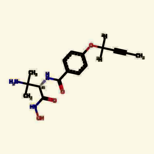 [2H]C([2H])(C#CC)Oc1ccc(C(=O)N[C@H](C(=O)NO)C(C)(C)N)cc1